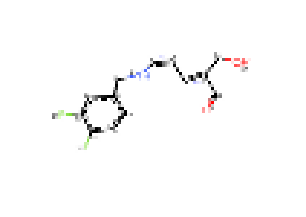 O=C/C(=C/C=C\NCc1ccc(F)c(F)c1)CO